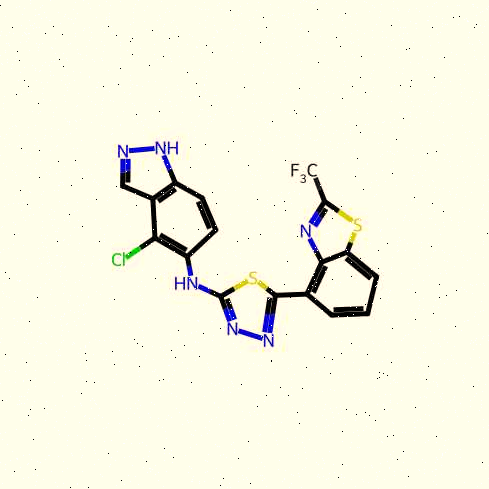 FC(F)(F)c1nc2c(-c3nnc(Nc4ccc5[nH]ncc5c4Cl)s3)cccc2s1